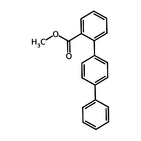 COC(=O)c1ccccc1-c1ccc(-c2ccccc2)cc1